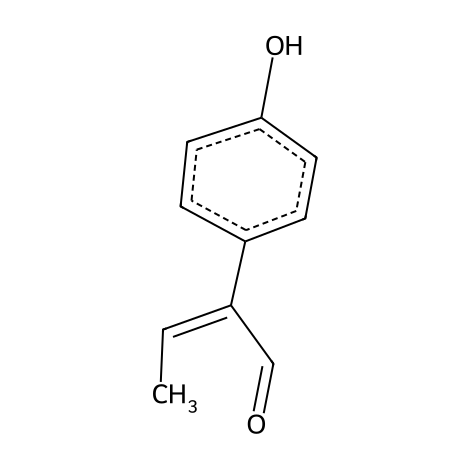 CC=C(C=O)c1ccc(O)cc1